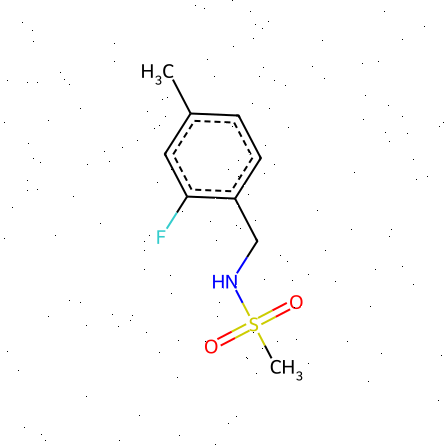 Cc1ccc(CNS(C)(=O)=O)c(F)c1